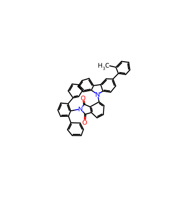 Cc1ccccc1-c1ccc2c(c1)c1ccccc1n2-c1cccc2c1C(=O)N(c1c(-c3ccccc3)cccc1-c1ccccc1)C2=O